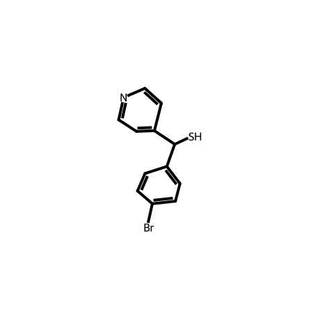 SC(c1ccncc1)c1ccc(Br)cc1